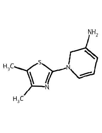 Cc1nc(N2C=CC=C(N)C2)sc1C